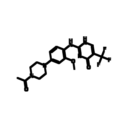 COc1cc(N2CCN(C(C)=O)CC2)ccc1Nc1nc(=O)c(C(F)(F)F)c[nH]1